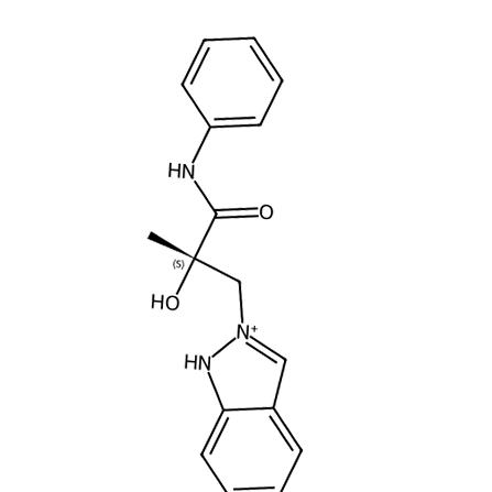 C[C@](O)(C[n+]1cc2ccccc2[nH]1)C(=O)Nc1ccccc1